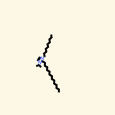 CCCCCCCCCCCCCCC1N(CCCCCCCCCC)C=CN1C(C)C